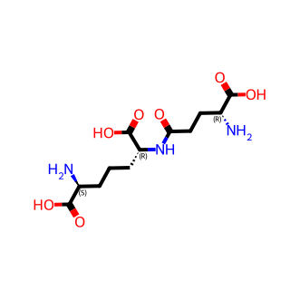 N[C@H](CCC(=O)N[C@H](CCC[C@H](N)C(=O)O)C(=O)O)C(=O)O